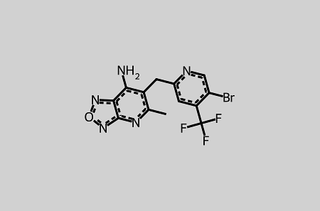 Cc1nc2nonc2c(N)c1Cc1cc(C(F)(F)F)c(Br)cn1